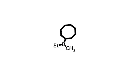 CCB(C)C1CCCCCCC1